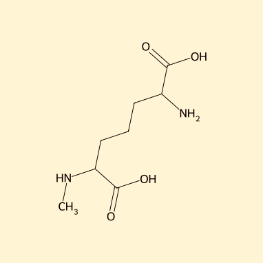 CNC(CCCC(N)C(=O)O)C(=O)O